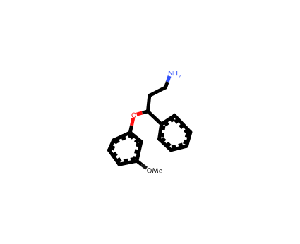 COc1cccc(OC(CCN)c2ccccc2)c1